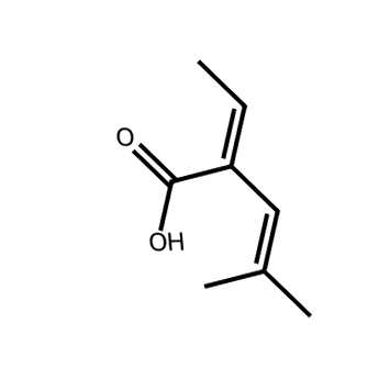 CC=C(C=C(C)C)C(=O)O